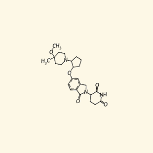 COC1(C)CCN(C2CCCC2Oc2ccc3c(c2)CN(C2CCC(=O)NC2=O)C3=O)CC1